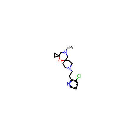 CCCN1CC2(CCN(CCc3ncccc3Cl)CC2)OC2(CC2)C1